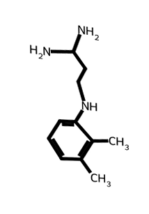 Cc1cccc(NCCC(N)N)c1C